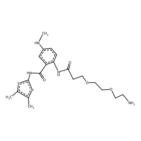 CNc1ccc(NC(=O)CCOCCOCCN)c(C(=O)Nc2nc(C)c(C)s2)c1